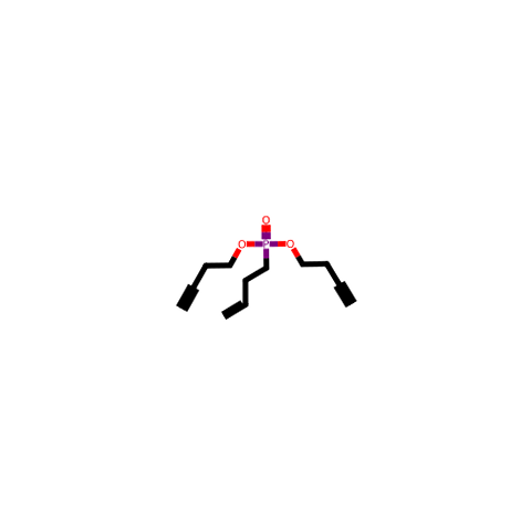 C#CCCOP(=O)(CCC=C)OCCC#C